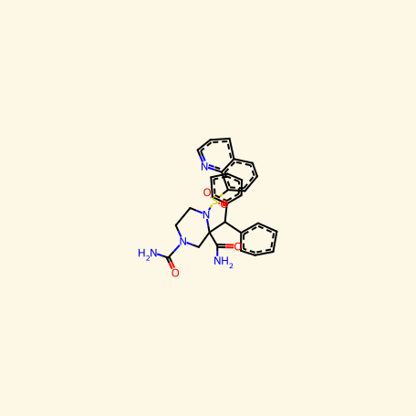 NC(=O)N1CCN(S(=O)(=O)c2cccc3cccnc23)C(C(N)=O)(C(c2ccccc2)c2ccccc2)C1